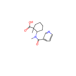 CN(C(=O)c1cccnc1)C1CCCCC1(C)C(=O)O